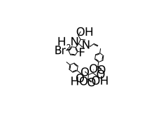 C=CCN1CC(CO)C(N)(c2cc(Br)ccc2F)C1.Cc1ccc(C(=O)O[C@H](C(=O)O)[C@H](OC(=O)c2ccc(C)cc2)C(=O)O)cc1